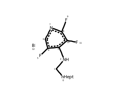 CCCCCCCCNc1c(F)cnc(F)c1F.[B]